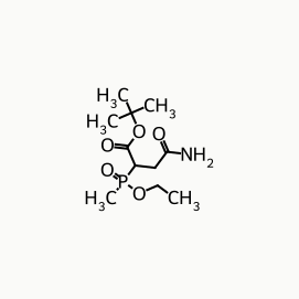 CCOP(C)(=O)C(CC(N)=O)C(=O)OC(C)(C)C